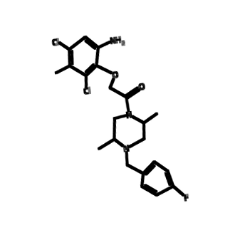 Cc1c(Cl)cc(N)c(OCC(=O)N2CC(C)N(Cc3ccc(F)cc3)CC2C)c1Cl